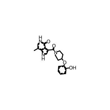 Cc1c[nH]c(=O)c2c(C(=O)N3CCC(Oc4ccccc4O)CC3)c[nH]c12